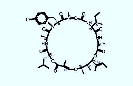 [CH2][C@H]1C/C=C(\C)C(=O)O[C@H](CC(C)C)C(=O)N[C@@H](C)C(=O)N(C)[C@H](Cc2ccc(Cl)cc2)C(=O)N(C)CC(=O)N[C@@H]([C@H](C)CC)C(=O)N[C@H](C)C(=O)O[C@H](/C(C)=C/C)[C@H]1C